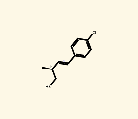 C[C@@H](/C=C/c1ccc(Cl)cc1)CS